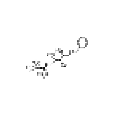 CC(C)(C)C(=O)OC[C@@H](O)[C@@H](O)[C@@H](O)COCc1ccccc1